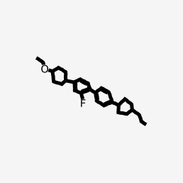 CCCC1CCC(c2ccc(-c3ccc(C4CCC(OCC)CC4)cc3F)cc2)CC1